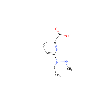 CCN(NC)c1cccc(C(=O)O)n1